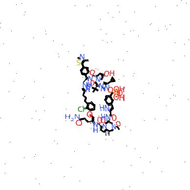 CC(=O)N1CC[C@H]2CC[C@@H](C(=O)N[C@@H](CCC(N)=O)COc3cccc(CCCc4cn(C[C@H](NC(=O)[C@@H]5C[C@@H](O)CN5C(=O)[C@@H](n5cc(C6CC6)nn5)C(C)(C)C)c5ccc(-c6scnc6C)cc5)nn4)c3Cl)N2C(=O)[C@@H](NC(=O)c2cc3cc(C(=O)P(=O)(O)O)ccc3[nH]2)C1